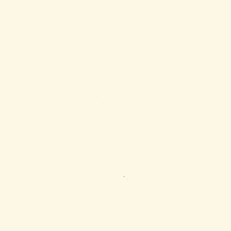 CCN1C(=O)C(C)(C)Oc2cc(C)c(-c3cc(C=CC(=O)O)ccc3OC(F)(F)F)cc21